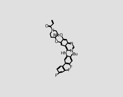 C=CC(=O)N1CCC(Oc2cc3c(Nc4cc(-c5ccc(F)cc5F)c(F)cc4C(C)CC)ncnc3cc2OC)CC1